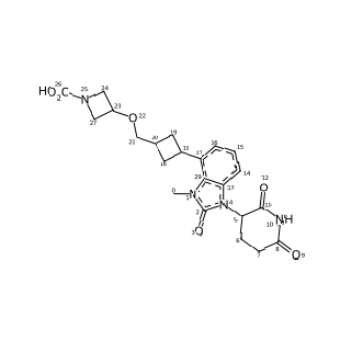 Cn1c(=O)n(C2CCC(=O)NC2=O)c2cccc(C3CC(COC4CN(C(=O)O)C4)C3)c21